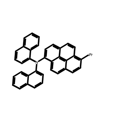 CC(C)c1ccc2ccc3c(N(c4cccc5ccccc45)c4cccc5ccccc45)ccc4ccc1c2c43